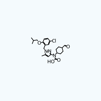 Cc1cc(N(C(=O)O)C2CCC(C=O)CC2)nn1Cc1cc(Cl)ccc1OCC(C)C